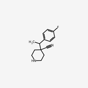 CC(c1ccc(F)cc1)C1(C#N)CCNCC1